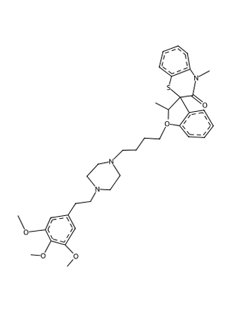 COc1cc(CCN2CCN(CCCCOc3ccccc3C3(C(C)C)Sc4ccccc4N(C)C3=O)CC2)cc(OC)c1OC